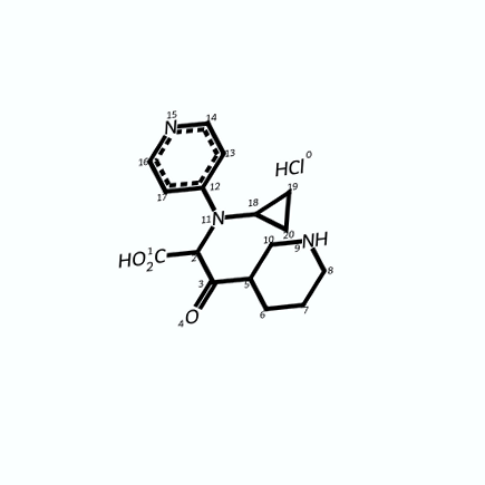 Cl.O=C(O)C(C(=O)C1CCCNC1)N(c1ccncc1)C1CC1